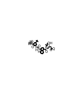 COC(=O)CC1CN(C(=O)c2ccc(NC(=O)Nc3cc(C(C)(C)C)cc(NS(C)(=O)=O)c3OC)c3ccccc23)CC(C)(CO)O1